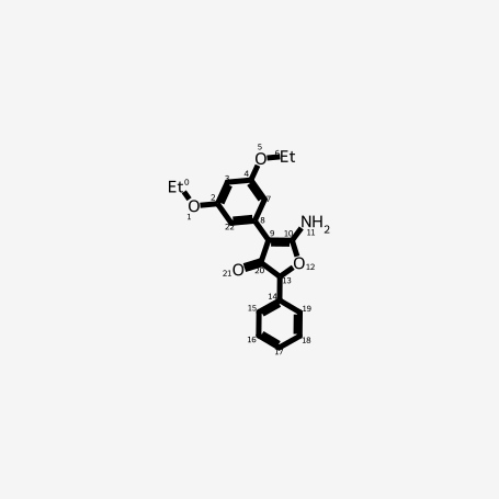 CCOc1cc(OCC)cc(C2=C(N)OC(c3ccccc3)C2=O)c1